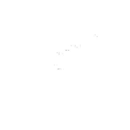 CCCCCCCCCCC(CCCCCCCCCC)C(=O)OCCN(CCO)C(=O)C=CC(=O)NCCOCCN(C)C